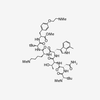 CNCCCC[C@H](NC(=O)[C@H](Cc1c[nH]c2c(C)cccc12)NC(=O)[C@@H](NC(=O)[C@H](CC(N)=O)NC(=O)[C@@H](NC)C(C)(C)C)[C@@H](C)O)C(=O)N[C@H](C(=O)N[C@@H](Cc1ccc(OCCNC)cc1)C(=O)OC)C(C)(C)C